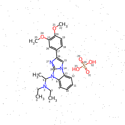 CCN(CC)C(C)n1c2ccccc2n2cc(-c3ccc(OC)c(OC)c3)nc12.O=S(=O)(O)O